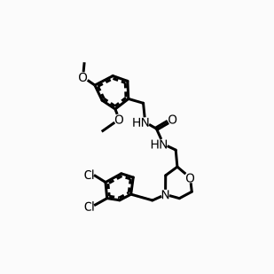 COc1ccc(CNC(=O)NCC2CN(Cc3ccc(Cl)c(Cl)c3)CCO2)c(OC)c1